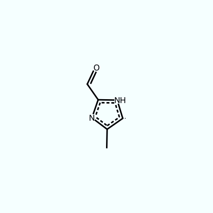 Cc1[c][nH]c(C=O)n1